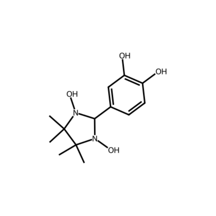 CC1(C)N(O)C(c2ccc(O)c(O)c2)N(O)C1(C)C